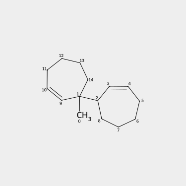 CC1(C2C=CCCCC2)C=CCCCC1